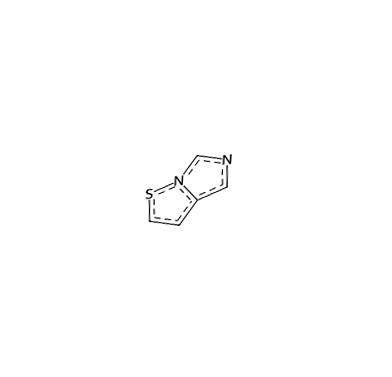 c1cc2cncn2s1